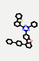 c1ccc(-c2ccc(-c3cccc4oc5cc(-c6nc(-c7ccccc7)nc(-c7cccc8c7sc7ccccc78)n6)ccc5c34)cc2)cc1